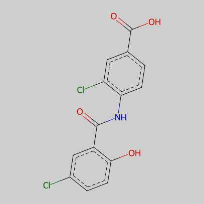 O=C(O)c1ccc(NC(=O)c2cc(Cl)ccc2O)c(Cl)c1